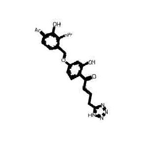 CCCc1c(COc2ccc(C(=O)CCCc3nnn[nH]3)c(O)c2)ccc(C(C)=O)c1O